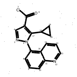 O=C(Cl)c1cnn(-c2cccc3ncccc23)c1C1CC1